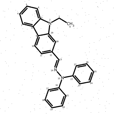 CCn1c2ccccc2c2ccc(C=NN(c3ccccc3)c3ccccc3)cc21